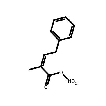 CC(=CCc1ccccc1)C(=O)O[N+](=O)[O-]